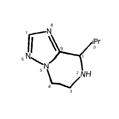 CC(C)C1NCCn2ncnc21